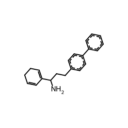 NC(CCc1ccc(-c2ccccc2)cc1)C1=CCCC=C1